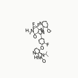 COc1cccnc1-n1nc(-c2ccc(Oc3ccnc4[nH]c(=O)n(C(C)C)c34)c(F)c2)c(C(N)=O)c1C(F)(F)F